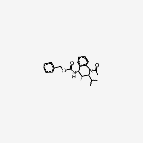 CC(=O)N1c2ccccc2[C@H](NC(=O)OCc2ccccc2)[C@@H](C)C1C(C)C